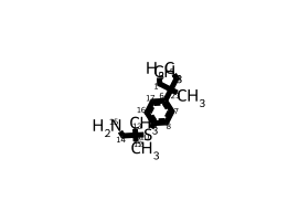 CCC(C)(CC)c1ccc(SC(C)(C)CN)cc1